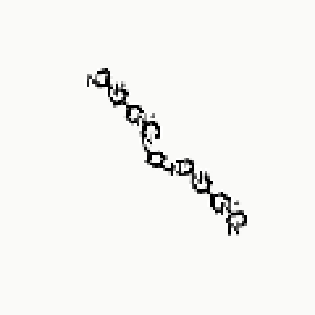 c1cncc(-[n+]2ccc(-c3cc[n+](-c4ccc[n+](Cc5ccc(C[n+]6cccc(-[n+]7ccc(-c8cc[n+](-c9cccnc9)cc8)cc7)c6)cc5)c4)cc3)cc2)c1